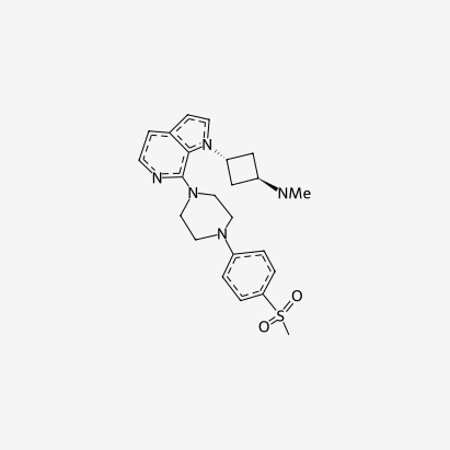 CN[C@H]1C[C@H](n2ccc3ccnc(N4CCN(c5ccc(S(C)(=O)=O)cc5)CC4)c32)C1